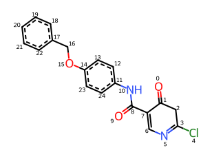 O=C1CC(Cl)=NC=C1C(=O)Nc1ccc(OCc2ccccc2)cc1